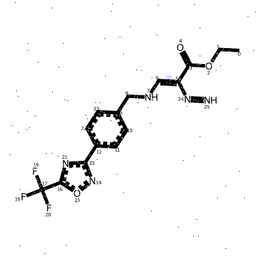 CCOC(=O)/C(=C/NCc1ccc(-c2noc(C(F)(F)F)n2)cc1)N=N